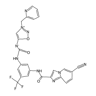 N#Cc1ccc2nc(C(=O)Nc3cc(NC(=O)[N-]c4c[n+](Cc5ccccn5)no4)cc(C(F)(F)F)c3)cn2c1